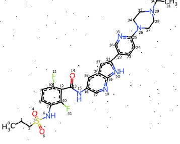 CCCS(=O)(=O)Nc1ccc(F)c(C(=O)Nc2cnc3[nH]c(-c4ccc(N5CCN(C(C)C)CC5)nc4)cc3c2)c1F